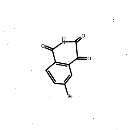 CC(C)c1ccc2c(c1)C(=O)C(=O)NC2=O